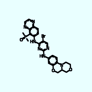 CP(C)(=O)c1c(Nc2nc(Nc3ccc4c(c3)OCC3COCCN43)ncc2Br)ccc2nccnc12